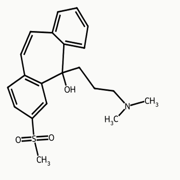 CN(C)CCCC1(O)c2ccccc2C=Cc2ccc(S(C)(=O)=O)cc21